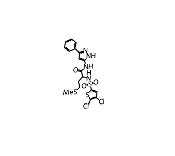 CSCCC(NS(=O)(=O)c1cc(Cl)c(Cl)s1)C(=O)Nc1cc(-c2ccccc2)n[nH]1